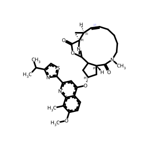 COc1ccc2c(O[C@@H]3CC4C5=N[C@@]6(C[C@H]6/C=C\CCCCN(C)C(=O)[C@@H]4C3)C(=O)O5)cc(-c3nc(C(C)C)cs3)nc2c1C